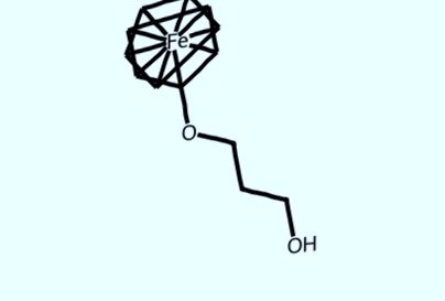 OCCCO[C]12[CH]3[CH]4[CH]5[CH]1[Fe]45321678[CH]2[CH]1[CH]6[CH]7[CH]28